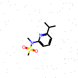 CC(C)c1cccc(N(C)S(C)(=O)=O)n1